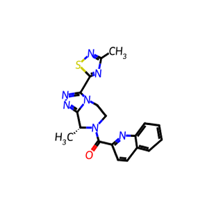 Cc1nsc(-c2nnc3n2CCN(C(=O)c2ccc4ccccc4n2)[C@@H]3C)n1